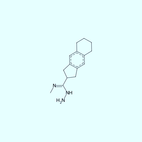 CN=C(NN)C1Cc2cc3c(cc2C1)CCCC3